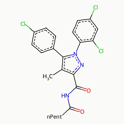 CCCCCC(=O)NC(=O)c1nn(-c2ccc(Cl)cc2Cl)c(-c2ccc(Cl)cc2)c1C